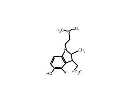 CC1C(CC(=O)O)c2c(ccc(O)c2F)N1CCN(C)C